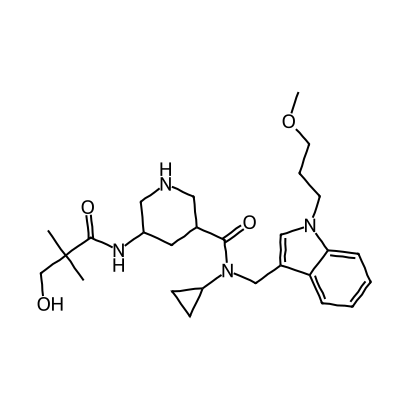 COCCCn1cc(CN(C(=O)C2CNCC(NC(=O)C(C)(C)CO)C2)C2CC2)c2ccccc21